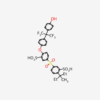 CCC(C)(CC)c1ccc(S(=O)(=O)c2ccc(Oc3ccc(C(c4ccc(O)cc4)(C(F)(F)F)C(F)(F)F)cc3)c(S(=O)(=O)O)c2)cc1S(=O)(=O)O